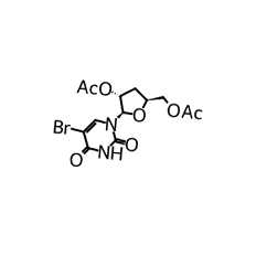 CC(=O)OC[C@@H]1C[C@@H](OC(C)=O)[C@H](n2cc(Br)c(=O)[nH]c2=O)O1